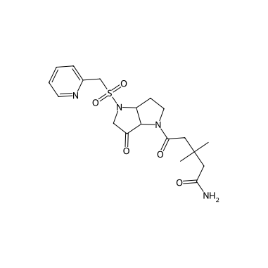 CC(C)(CC(N)=O)CC(=O)N1CCC2C1C(=O)CN2S(=O)(=O)Cc1ccccn1